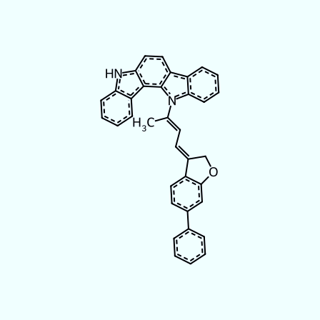 C/C(=C\C=C1/COc2cc(-c3ccccc3)ccc21)n1c2ccccc2c2ccc3[nH]c4ccccc4c3c21